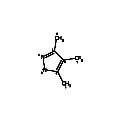 CC1=N[N]C(C)=C1C(F)(F)F